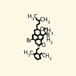 BC(C)c1cc2c3c(c(Br)cc4c3c1C(O)C(CCC(C)CC)C4)C[C@@H](CCc1c(C)cccc1CC)C2=O